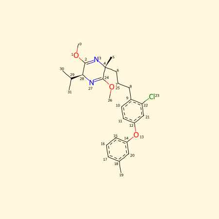 COC1=N[C@](C)(CCCc2ccc(Oc3cccc(C)c3)cc2Cl)C(OC)=N[C@H]1C(C)C